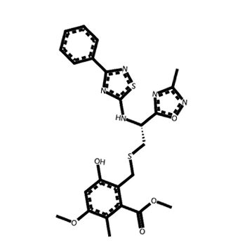 COC(=O)c1c(C)c(OC)cc(O)c1CSC[C@H](Nc1nc(-c2ccccc2)ns1)c1nc(C)no1